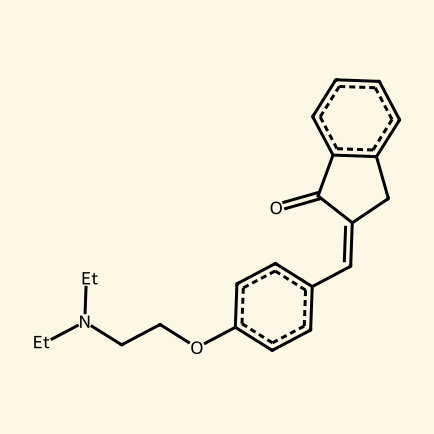 CCN(CC)CCOc1ccc(C=C2Cc3ccccc3C2=O)cc1